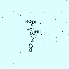 NC(CCCCB(O)O)(C(=O)O)[C@H]1CC[C@H](NCc2ccc(Cl)cc2)CC1